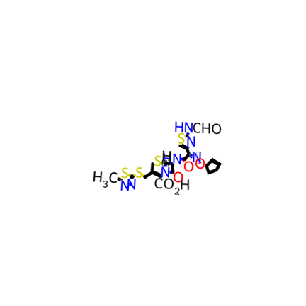 Cc1nnc(SCC2=C(C(=O)O)N3C(=O)C(NC(=O)/C(=N\OC4C=CCC4)c4csc(NC=O)n4)[C@H]3SC2)s1